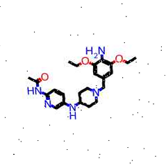 CCOc1cc(CN2CCC(Nc3ccc(NC(C)=O)nc3)CC2)cc(OCC)c1N